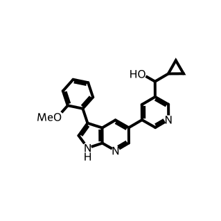 COc1ccccc1-c1c[nH]c2ncc(-c3cncc(C(O)C4CC4)c3)cc12